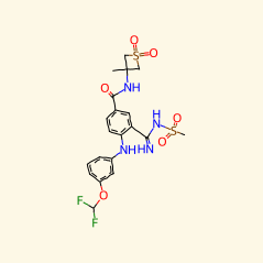 CC1(NC(=O)c2ccc(Nc3cccc(OC(F)F)c3)c(C(=N)NS(C)(=O)=O)c2)CS(=O)(=O)C1